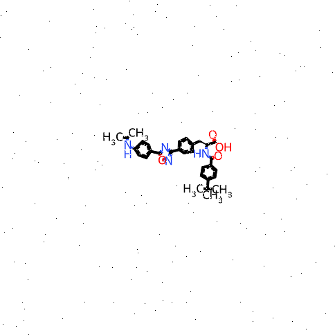 CC(C)Nc1ccc(-c2nc(-c3ccc(C[C@H](NC(=O)c4ccc(C(C)(C)C)cc4)C(=O)O)cc3)no2)cc1